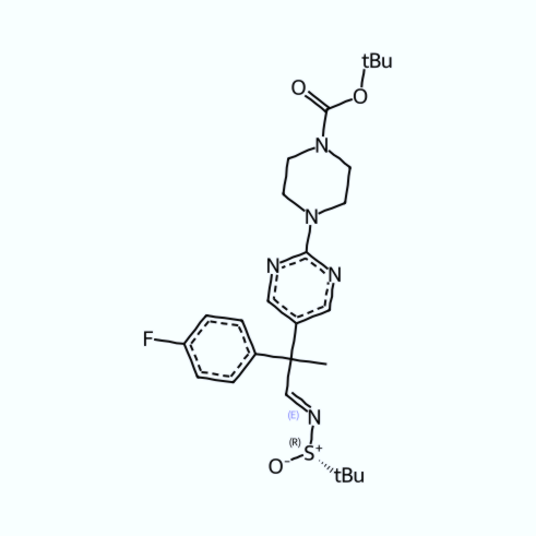 CC(C)(C)OC(=O)N1CCN(c2ncc(C(C)(/C=N/[S@@+]([O-])C(C)(C)C)c3ccc(F)cc3)cn2)CC1